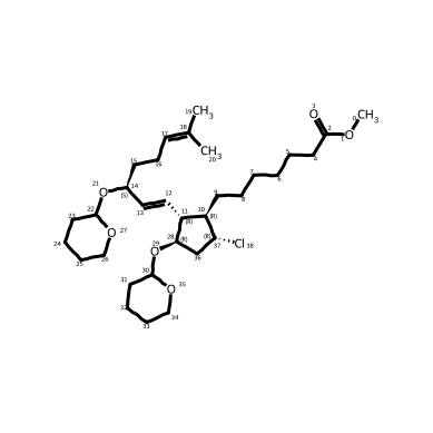 COC(=O)CCCCCC[C@@H]1[C@@H](C=C[C@H](CCC=C(C)C)OC2CCCCO2)[C@H](OC2CCCCO2)C[C@H]1Cl